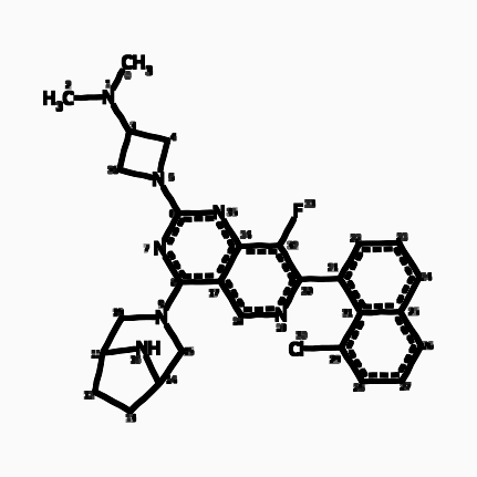 CN(C)C1CN(c2nc(N3CC4CCC(C3)N4)c3cnc(-c4cccc5cccc(Cl)c45)c(F)c3n2)C1